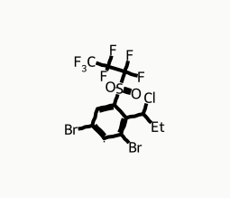 CCC(Cl)c1c(Br)[c]c(Br)cc1S(=O)(=O)C(F)(F)C(F)(F)C(F)(F)F